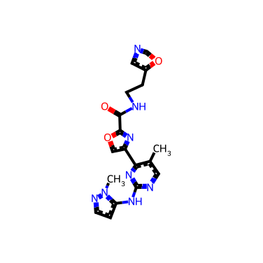 Cc1cnc(Nc2ccnn2C)nc1-c1coc(C(=O)NCCc2cnco2)n1